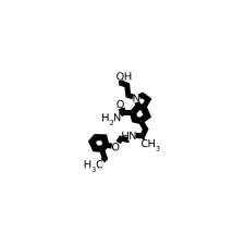 CCc1ccccc1OCCN[C@H](C)Cc1cc2c(c(C(N)=O)c1)N(CCCO)CC2